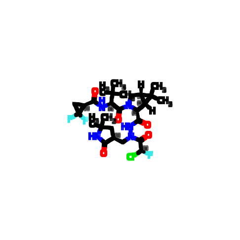 CC1(C)C[C@@H](CN(NC(=O)[C@@H]2[C@@H]3[C@H](CN2C(=O)[C@@H](NC(=O)[C@@H]2CC2(F)F)C(C)(C)C)C3(C)C)C(=O)[C@@H](F)Cl)C(=O)N1